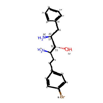 NC(CCc1ccc(Br)cc1)[C@@H](O)[C@@H](N)Cc1ccccc1